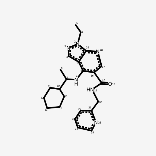 CCn1ncc2c(NC(C)C3CCCCC3)c(C(=O)NCc3ccccn3)cnc21